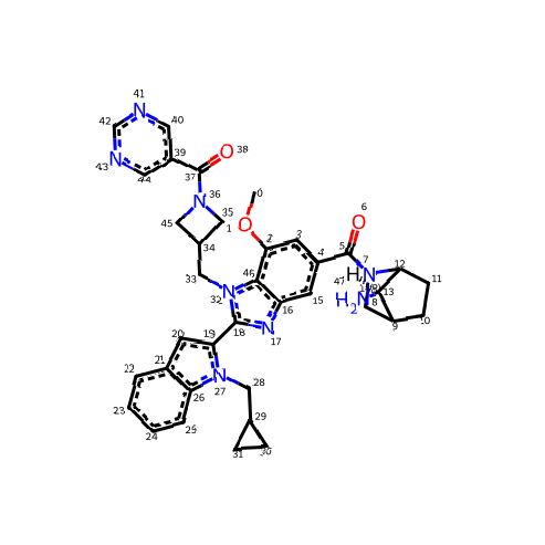 COc1cc(C(=O)N2CC3CCC2[C@@H]3N)cc2nc(-c3cc4ccccc4n3CC3CC3)n(CC3CN(C(=O)c4cncnc4)C3)c12